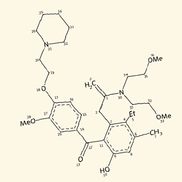 C=C(Cc1c(CC)c(C)cc(O)c1C(=O)c1ccc(OCCN2CCCCC2)c(OC)c1)N(CCOC)CCOC